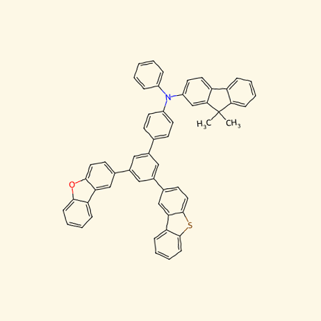 CC1(C)c2ccccc2-c2ccc(N(c3ccccc3)c3ccc(-c4cc(-c5ccc6oc7ccccc7c6c5)cc(-c5ccc6sc7ccccc7c6c5)c4)cc3)cc21